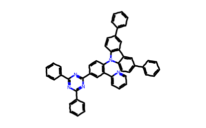 c1ccc(-c2ccc3c(c2)c2cc(-c4ccccc4)ccc2n3-c2ccc(-c3nc(-c4ccccc4)nc(-c4ccccc4)n3)cc2-c2ccccn2)cc1